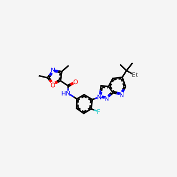 CCC(C)(C)c1cnc2nn(-c3cc(NC(=O)c4oc(C)nc4C)ccc3F)cc2c1